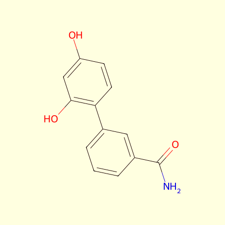 NC(=O)c1cccc(-c2ccc(O)cc2O)c1